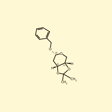 CC1(C)O[C@H]2CO[C@@H](OCc3ccccc3)C[C@H]2O1